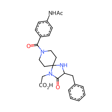 CC(=O)Nc1ccc(C(=O)N2CCC3(CC2)NC(Cc2ccccc2)C(=O)N3CC(=O)O)cc1